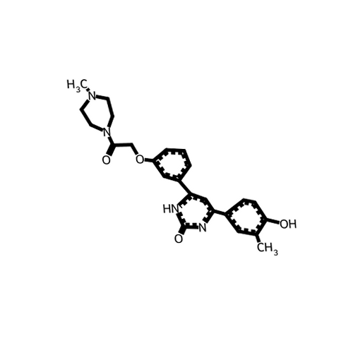 Cc1cc(-c2cc(-c3cccc(OCC(=O)N4CCN(C)CC4)c3)[nH]c(=O)n2)ccc1O